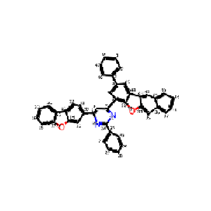 c1ccc(-c2cc(-c3cc(-c4ccc5c(c4)oc4ccccc45)nc(-c4ccccc4)n3)c3oc4cc5ccccc5cc4c3c2)cc1